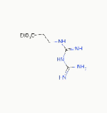 CCOC(=O)CCNC(=N)NC(=N)N